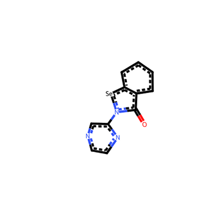 O=c1c2ccccc2[se]n1-c1cnccn1